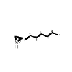 C1CN1.CCCCCCC